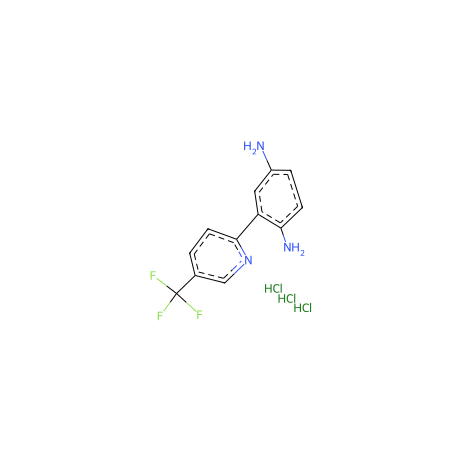 Cl.Cl.Cl.Nc1ccc(N)c(-c2ccc(C(F)(F)F)cn2)c1